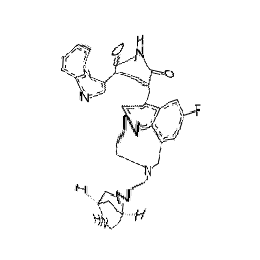 O=C1NC(=O)C(c2cnc3ccccn23)=C1c1cn2c3c(cc(F)cc13)CN(CN1C[C@H]3C[C@@H]1CN3)CC2